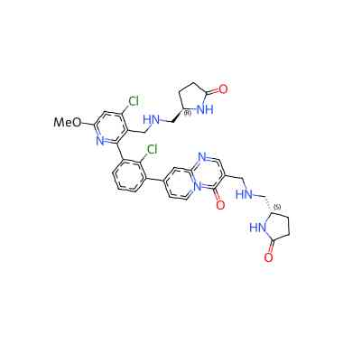 COc1cc(Cl)c(CNC[C@H]2CCC(=O)N2)c(-c2cccc(-c3ccn4c(=O)c(CNC[C@@H]5CCC(=O)N5)cnc4c3)c2Cl)n1